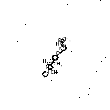 CC(C)(c1ccc(OCc2ccnc(NS(C)(=O)=O)n2)cc1)c1cnc(N2CCCCC2)c(C#N)c1